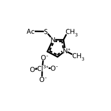 CC(=O)Sn1cc[n+](C)c1C.[O-][Cl+3]([O-])([O-])[O-]